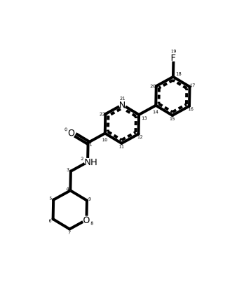 O=C(NCC1CCCOC1)c1ccc(-c2cccc(F)c2)nc1